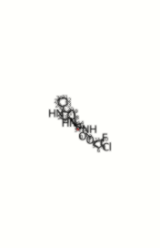 O=C(COc1ccc(Cl)c(F)c1)NC12CC(Nc3cccc4c3CCNC4C3CCCCCC3)(C1)C2